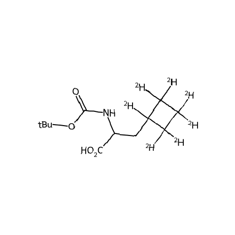 [2H]C1([2H])C([2H])([2H])C([2H])(CC(NC(=O)OC(C)(C)C)C(=O)O)C1([2H])[2H]